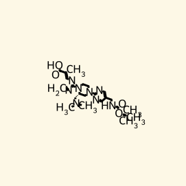 C=N/C(=N\C=C(/C)C(=O)O)N1CCN(c2ncc(CNC(=O)OC(C)(C)C)cn2)C[C@@H]1CN(C)C